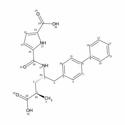 C[C@H](C[C@@H](Cc1ccc(-c2ccccc2)cc1)NC(=O)c1ccc(C(=O)O)[nH]1)C(=O)O